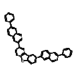 c1ccc(-c2ccc3cc(-c4ccc5oc6ccc(-c7ccc8cc(-c9ccccc9)ccc8c7)cc6c5c4)ccc3c2)cc1